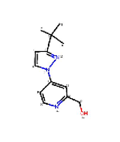 CC(C)(C)c1ccn(-c2ccnc(CO)c2)n1